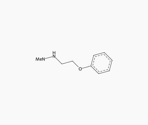 CNNCCOc1ccccc1